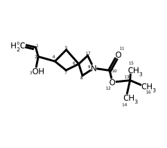 C=CC(O)C1CC2(C1)CN(C(=O)OC(C)(C)C)C2